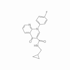 O=C(NCC1CC1)c1cn(-c2ccc(F)cc2)c2ncccc2c1=O